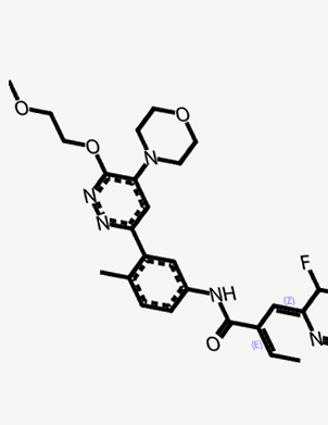 C=N/C(=C\C(=C/C)C(=O)Nc1ccc(C)c(-c2cc(N3CCOCC3)c(OCCOC)nn2)c1)C(F)F